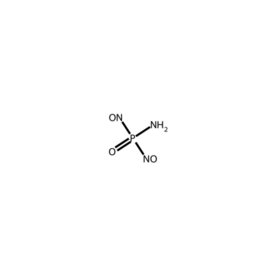 NP(=O)(N=O)N=O